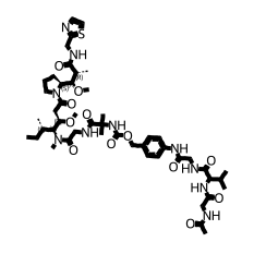 CC[C@H](C)[C@@H]([C@@H](CC(=O)N1CCC[C@H]1[C@H](OC)[C@@H](C)C(=O)NCc1nccs1)OC)N(C)C(=O)CNC(=O)C(C)(C)NC(=O)OCc1ccc(NC(=O)CNC(=O)C(NC(=O)CNC(C)=O)C(C)C)cc1